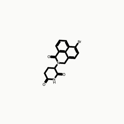 O=C1CCC(N2Cc3ccc(Br)c4cccc(c34)C2=O)C(=O)N1